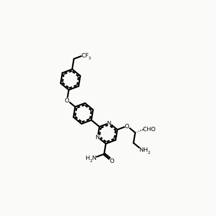 NC[C@@H](C=O)Oc1cc(C(N)=O)nc(-c2ccc(Oc3ccc(CC(F)(F)F)cc3)cc2)n1